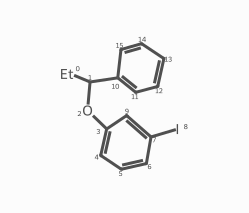 [CH2]CC(Oc1cccc(I)c1)c1ccccc1